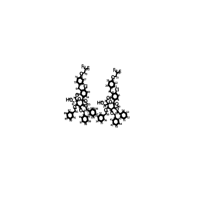 CO[C@@]1(c2ccc(Cl)c(Cc3ccc(OCC(F)F)cc3)c2)OC(CO)(CO)[C@@H](OCc2ccccc2)[C@H](OCc2ccccc2)[C@H]1OCc1ccccc1.CO[C@@]1(c2ccc(Cl)c(Cc3ccc(OCC(F)F)cc3)c2)O[C@@](C=O)(CO)[C@@H](OCc2ccccc2)[C@H](OCc2ccccc2)[C@H]1OCc1ccccc1